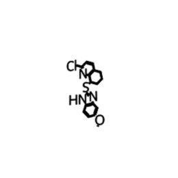 COc1ccc2[nH]c(SC3CCCc4ccc(Cl)nc43)nc2c1